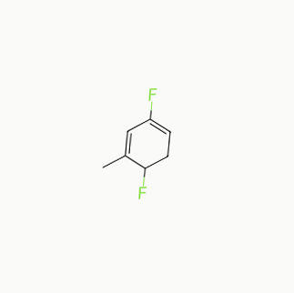 CC1=CC(F)=CCC1F